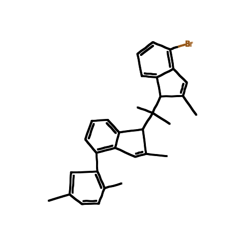 CC1=Cc2c(Br)cccc2C1C(C)(C)C1C(C)=Cc2c(-c3cc(C)ccc3C)cccc21